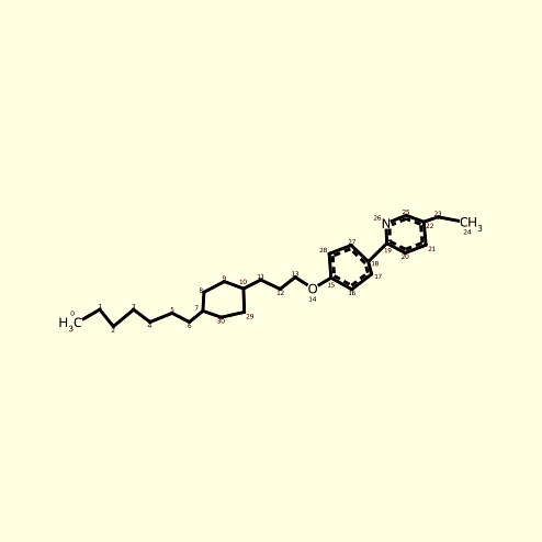 CCCCCCCC1CCC(CCCOc2ccc(-c3ccc(CC)cn3)cc2)CC1